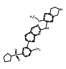 COc1cc2c(cc1Nc1ncc3ccc(-c4cc(S(=O)(=O)N5CCCC5)ccc4C)cc3n1)CNCC2